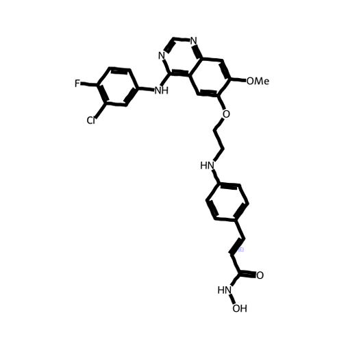 COc1cc2ncnc(Nc3ccc(F)c(Cl)c3)c2cc1OCCNc1ccc(/C=C/C(=O)NO)cc1